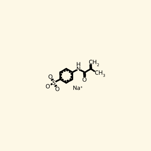 C=C(C)C(=O)Nc1ccc(S(=O)(=O)[O-])cc1.[Na+]